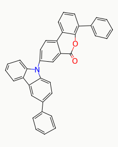 O=c1oc2c(-c3ccccc3)cccc2c2ccc(-n3c4ccccc4c4cc(-c5ccccc5)ccc43)cc12